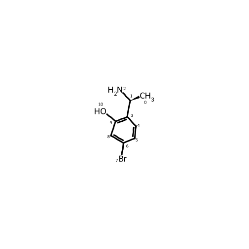 C[C@H](N)c1ccc(Br)cc1O